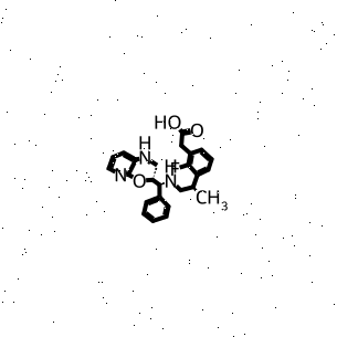 C[C@@H](CN[C@H](c1ccccc1)[C@H]1CNc2cccnc2O1)c1cccc(CC(=O)O)c1F